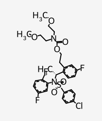 COCCN(CCOC)C(=O)OCCc1cc(F)ccc1[C@@H](C)N(c1cc(F)ccc1F)S(=O)(=O)c1ccc(Cl)cc1